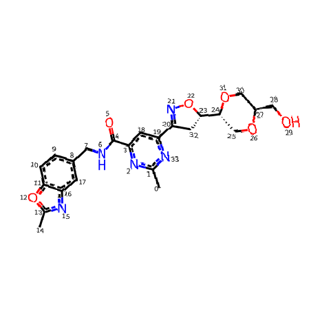 Cc1nc(C(=O)NCc2ccc3oc(C)nc3c2)cc(C2=NO[C@H]([C@H]3CO[C@H](CO)CO3)C2)n1